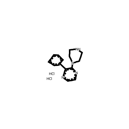 Cl.Cl.c1ccc(-c2nccnc2N2CCNCC2)cc1